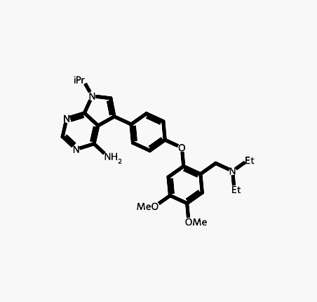 CCN(CC)Cc1cc(OC)c(OC)cc1Oc1ccc(-c2cn(C(C)C)c3ncnc(N)c23)cc1